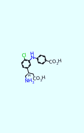 NC[C@H](CC(=O)O)c1ccc(Cl)c(Nc2ccc(C(=O)O)cc2)c1